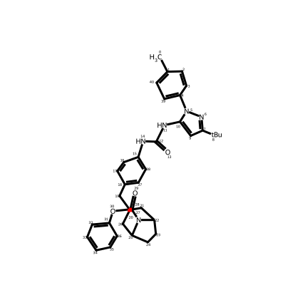 Cc1ccc(-n2nc(C(C)(C)C)cc2NC(=O)Nc2ccc(CC3CC4CCC(C3)N4C(=O)Oc3ccccc3)cc2)cc1